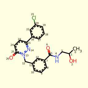 CC(O)CNC(=O)c1cccc(Cn2nc(-c3cccc(Cl)c3)ccc2=O)c1